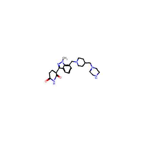 Cn1nc(C2CCC(=O)NC2=O)c2cccc(CN3CCC(CN4CCNCC4)CC3)c21